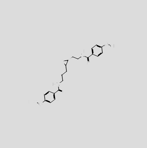 O=C(NCCCC1O[C@H]1CCNC(=O)c1ccc(OC(F)(F)F)cc1)c1ccc(OC(F)(F)F)cc1